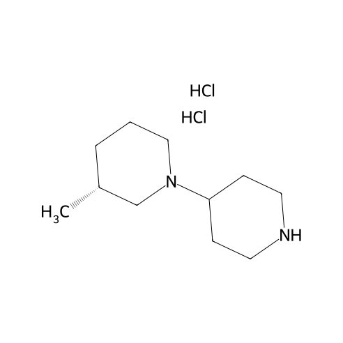 C[C@@H]1CCCN(C2CCNCC2)C1.Cl.Cl